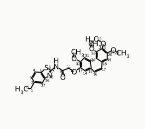 CCc1ccc2sc(NC(=O)COc3cc(/C=C\c4cc(OC)c(OC)c(OC)c4)ccc3OC)nc2c1